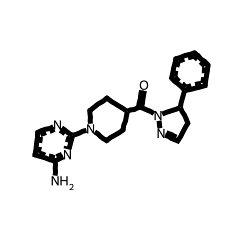 Nc1ccnc(N2CCC(C(=O)N3N=CCC3c3ccccc3)CC2)n1